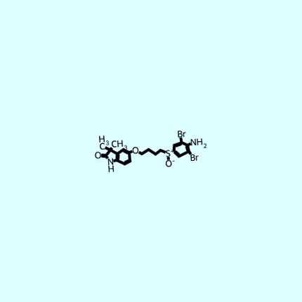 CC1(C)C(=O)Nc2ccc(OCCCC[S+]([O-])c3cc(Br)c(N)c(Br)c3)cc21